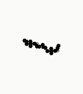 CC1(C)c2cc(-c3cccc(-c4c5ccccc5c(-c5ccc6oc7cc8ccccc8cc7c6c5)c5ccccc45)c3)ccc2-c2cccc(-c3ccc4ccc5c6cc(-c7c8ccccc8c(-c8cccc9c8ccc8ccccc89)c8ccccc78)ccc6oc5c4c3)c21